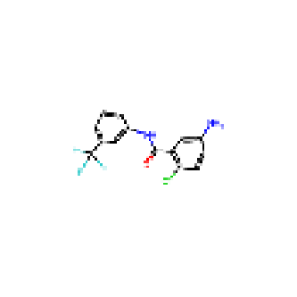 Nc1ccc(Cl)c(C(=O)Nc2cccc(C(F)(F)F)c2)c1